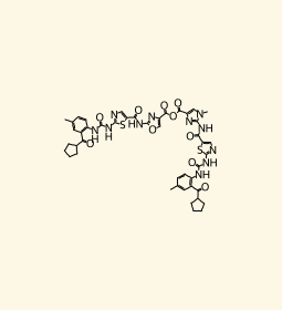 Cc1ccc(NC(=O)Nc2ncc(C(=O)Nc3nc(C(=O)OC(=O)c4cn(C)c(NC(=O)c5cnc(NC(=O)Nc6ccc(C)cc6C(=O)C6CCCC6)s5)n4)co3)s2)c(C(=O)C2CCCC2)c1